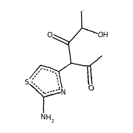 [CH2]C(O)C(=O)C(C(C)=O)c1csc(N)n1